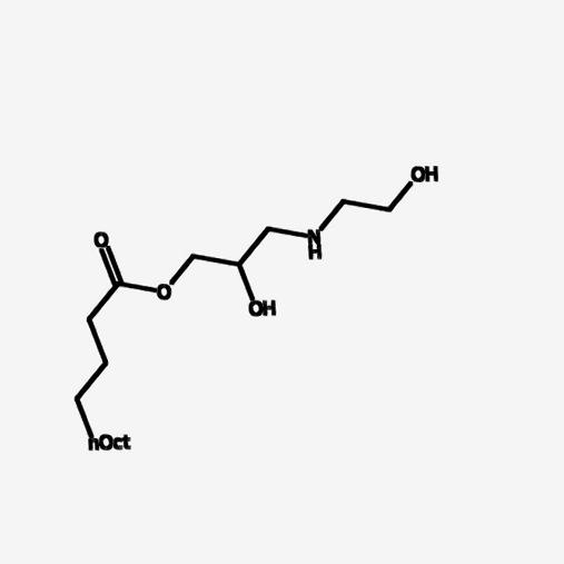 CCCCCCCCCCCC(=O)OCC(O)CNCCO